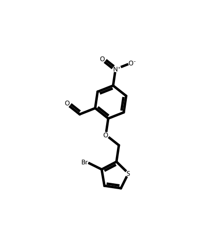 O=Cc1cc([N+](=O)[O-])ccc1OCc1sccc1Br